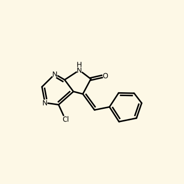 O=C1Nc2ncnc(Cl)c2C1=Cc1ccccc1